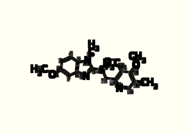 COc1ccc2c(c1)nc([S+]([O-])Cc1ncc(C)c(OC)c1C)n2C